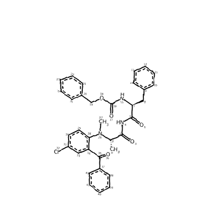 C[C@@H](C(=O)NC(=O)[C@H](Cc1ccccc1)NC(=O)OCc1ccccc1)N(C)c1ccc(Cl)cc1C(=O)c1ccccc1